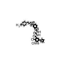 COc1cc(Cl)c(C(=O)NC(=O)Nc2nc3ccc(S(=O)(=O)CCCN4CCN(C)CC4)cc3s2)cc1-n1cccn1